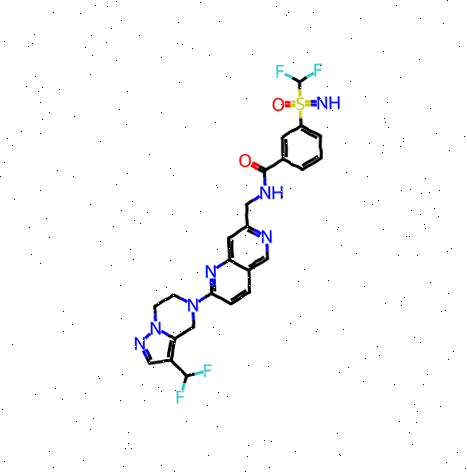 N=S(=O)(c1cccc(C(=O)NCc2cc3nc(N4CCn5ncc(C(F)F)c5C4)ccc3cn2)c1)C(F)F